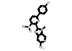 CC[S+]([O-])c1ccc(-c2ccc(Cl)cc2)nc1-c1nc2cc(C(F)(F)F)ncc2n1C